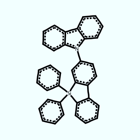 c1ccc([Si]2(c3ccccc3)c3ccccc3-c3ccc(-n4c5ccccc5c5ccccc54)cc32)cc1